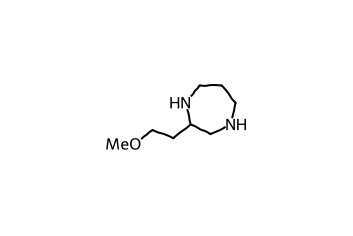 COCCC1CNCCCN1